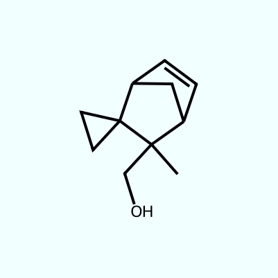 CC1(CO)C2C=CC(C2)C12CC2